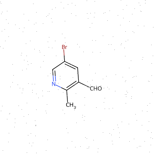 Cc1ncc(Br)cc1C=O